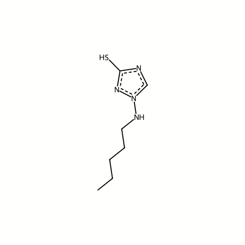 CCCCCNn1cnc(S)n1